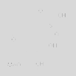 COC(=O)C(C)(O)CS(C)(=O)=O